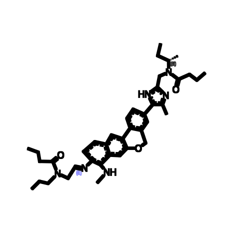 CCCC(=O)N(C/C=N/c1ccc2cc3c(cc2c1NC)OCc1cc(-c2[nH]c(CN(C(=O)CCC)[C@@H](C)CC)nc2C)ccc1-3)CCC